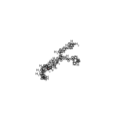 CO[C@@H]1C[C@@H](C[C@H]2CC[C@H](C)C([C@@H](C)C(=O)NCCSSC[C@@H](C)NC(=O)C(CCCNC(=O)CCC(=O)N3Cc4ccccc4-c4[nH]nnc4-c4ccccc43)NC(=O)CC[C@@H](C)NC(=O)c3ccc(NCc4cnc5nc(N)[nH]c(=O)c5n4)cc3)O2)O[C@]2(O[C@@](C)(C3CC[C@@](C)([C@@H]4O[C@@H]([C@@H]5O[C@@](O)(CO)[C@H](C)C[C@@H]5C)C[C@@H]4C)O3)C[C@H]2C)[C@@H]1C